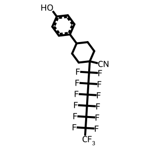 N#CC1(C(F)(F)C(F)(F)C(F)(F)C(F)(F)C(F)(F)C(F)(F)C(F)(F)F)CCC(c2ccc(O)cc2)CC1